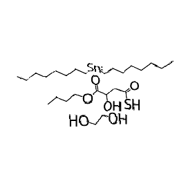 CCCCCCC[CH2][Sn][CH2]CCCCCCC.CCCCOC(=O)C(O)CC(=O)S.OCCO